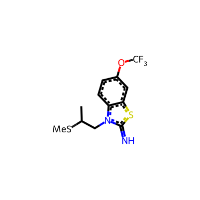 CSC(C)Cn1c(=N)sc2cc(OC(F)(F)F)ccc21